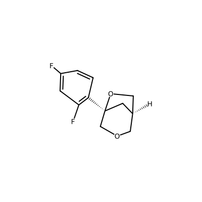 Fc1ccc([C@]23COC[C@H](CO2)C3)c(F)c1